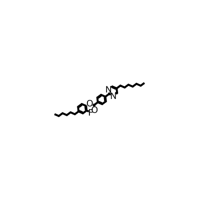 CCCCCCCc1cnc(-c2ccc(C(=O)Oc3ccc(CCCCCC)cc3F)cc2)nc1